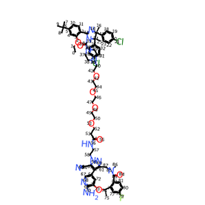 CCOc1cc(C(C)(C)C)ccc1C1=N[C@](C)(c2ccc(Cl)cc2)[C@](C)(c2ccc(Cl)cc2)N1C(=O)N1CCN(CCOCCOCCOCCOCCC(=O)NCCn2nc3c(c2C#N)-c2cnc(N)c(c2)O[C@H](C)c2cc(F)ccc2C(=O)N(C)C3)CC1